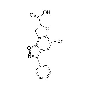 O=C(O)C1Cc2c(c(Br)cc3c(-c4ccccc4)noc23)O1